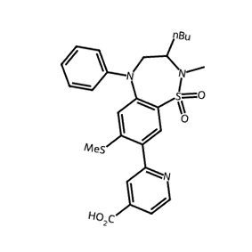 CCCCC1CN(c2ccccc2)c2cc(SC)c(-c3cc(C(=O)O)ccn3)cc2S(=O)(=O)N1C